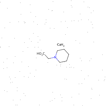 O=C(O)CN1CCCCC1.[CaH2]